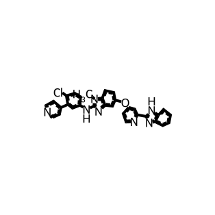 Cn1c(Nc2ccc(Cl)c(-c3ccncc3)c2)nc2cc(Oc3ccnc(-c4nc5ccccc5[nH]4)c3)ccc21